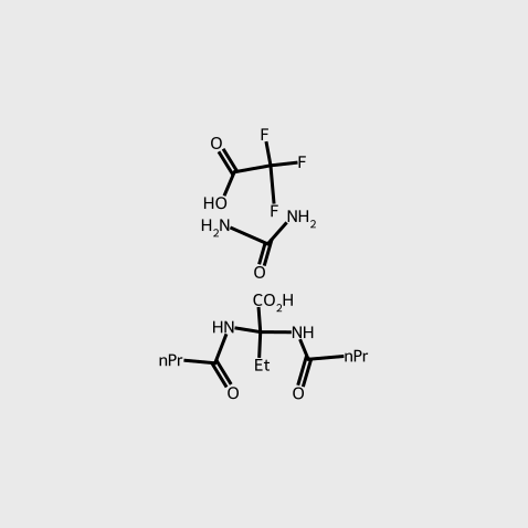 CCCC(=O)NC(CC)(NC(=O)CCC)C(=O)O.NC(N)=O.O=C(O)C(F)(F)F